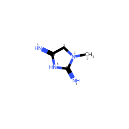 CN1CC(=N)NC1=N